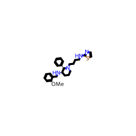 COc1ccccc1CN[C@H]1CCCN(CCCCNc2nccs2)[C@H]1c1ccccc1